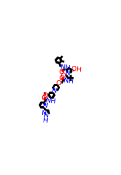 COc1cc(N2CCC(OCC(=O)N[C@H](C(=O)N3C[C@H](O)C[C@H]3C(=O)NCc3cccc(C)c3C)C(C)(C)C)CC2)ccc1NC(=O)c1cccc(-c2cc[nH]n2)n1